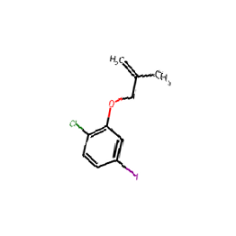 C=C(C)COc1cc(I)ccc1Cl